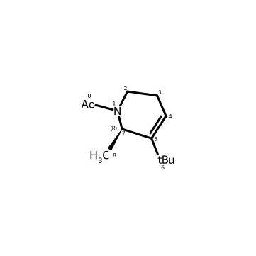 CC(=O)N1CCC=C(C(C)(C)C)[C@H]1C